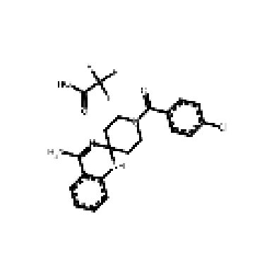 NC1=NC2(CCN(C(=O)c3ccc(Cl)cc3)CC2)Nc2ccccc21.O=C(O)C(F)(F)F